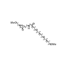 COCCNCC(=O)OCCNCC(=O)OCCOCCOCCOCCOCCOC